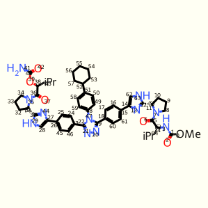 COC(=O)N[C@H](C(=O)N1CCC[C@H]1c1nc(-c2ccc(-c3nnc(-c4ccc(-c5c[nH]c([C@@H]6CCCN6C(=O)C(OC(N)=O)C(C)C)n5)cc4)n3-c3ccc(C4CCCCC4)cc3)cc2)c[nH]1)C(C)C